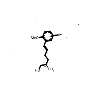 COc1ccc(C(C)C)cc1/C=C/CC[C@@H](C)CO